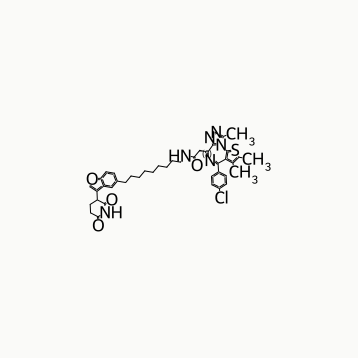 Cc1sc2c(c1C)C(c1ccc(Cl)cc1)=N[C@@H](CC(=O)NCCCCCCCCCc1ccc3occ(C4CCC(=O)NC4=O)c3c1)c1nnc(C)n1-2